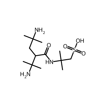 CC(C)(N)CC(C(=O)NC(C)(C)CS(=O)(=O)O)C(C)(C)N